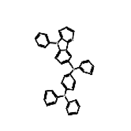 c1ccc(N(c2ccccc2)c2ccc(N(c3ccccc3)c3ccc4c(c3)c3ncccc3n4-c3ccccc3)cc2)cc1